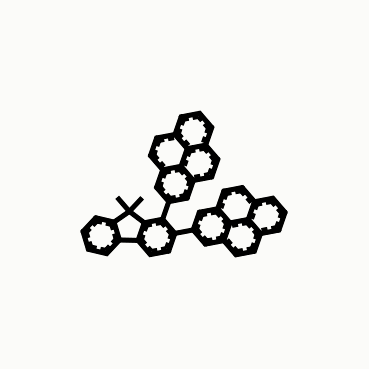 CC1(C)c2ccccc2-c2ccc(-c3cc4ccc5cccc6ccc(c3)c4c56)c(-c3cc4ccc5cccc6ccc(c3)c4c56)c21